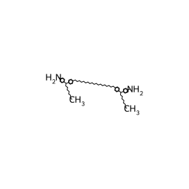 CCCCCCCCC(c1ccc(N)cc1)c1ccc(CCCCCCCCCCCCCCCCCCCc2ccc(C(CCCCCCCC)c3ccc(N)cc3)cc2)cc1